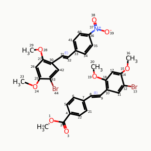 COC(=O)c1ccc(/C=C/c2cc(Br)c(OC)cc2OC)cc1.COc1cc(OC)c(/C=C/c2ccc([N+](=O)[O-])cc2)cc1Br